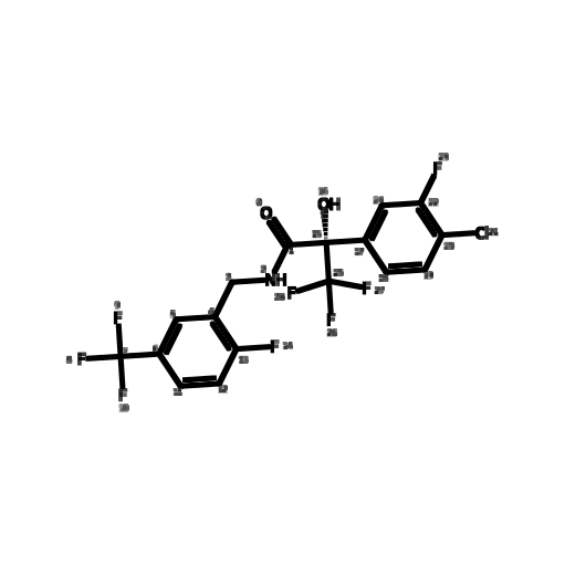 O=C(NCc1cc(C(F)(F)F)ccc1F)[C@@](O)(c1ccc(Cl)c(F)c1)C(F)(F)F